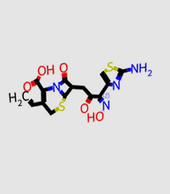 C=CC1=C(C(=O)O)N2C(=O)C(CC(=O)/C(=N\O)c3csc(N)n3)C2SC1